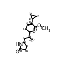 COC1=BC(C(Br)C[C@H]2CCC(=O)N2)CC=C1C1CC1